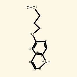 O=CCCCOc1ccc2c(c1)C=CCN2